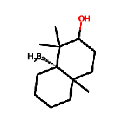 B[C@@]12CCCCC1(C)CCC(O)C2(C)C